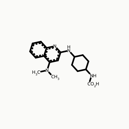 CN(C)c1cc(NC2CCC(NC(=O)O)CC2)nc2ccccc12